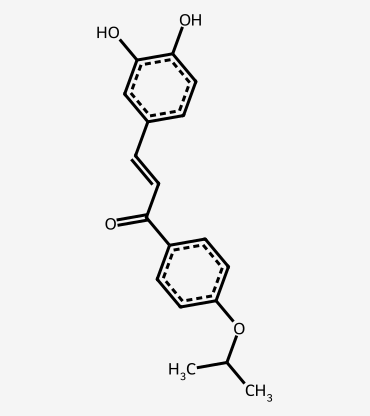 CC(C)Oc1ccc(C(=O)C=Cc2ccc(O)c(O)c2)cc1